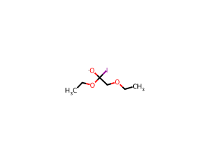 CCOCC([O])(I)OCC